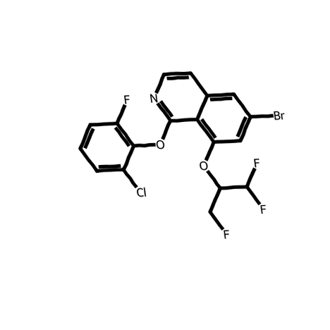 FCC(Oc1cc(Br)cc2ccnc(Oc3c(F)cccc3Cl)c12)C(F)F